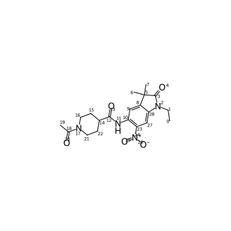 CCN1C(=O)C(C)(C)c2cc(NC(=O)C3CCN(C(C)=O)CC3)c([N+](=O)[O-])cc21